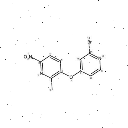 Cc1nc([N+](=O)[O-])ccc1Oc1ccnc(Br)c1